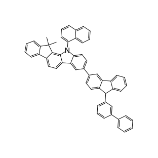 CC1(C)c2ccccc2-c2ccc3c4cc(-c5ccc6c(c5)-c5ccccc5C6c5cccc(-c6ccccc6)c5)ccc4n(-c4cccc5ccccc45)c3c21